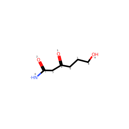 [NH]C(=O)CC(=O)CCCO